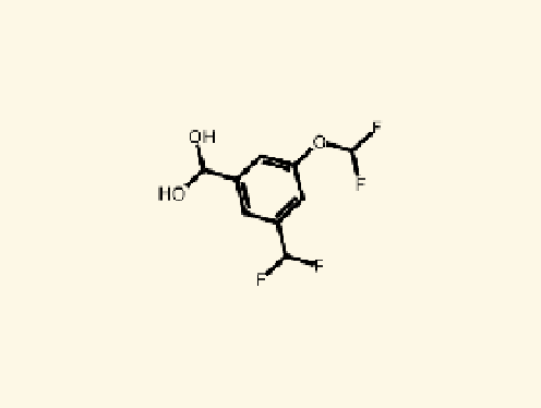 OC(O)c1cc(OC(F)F)cc(C(F)F)c1